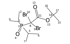 CC(C)P(=O)(C(C)C)C(Br)(Br)C(=O)OC(C)(C)C